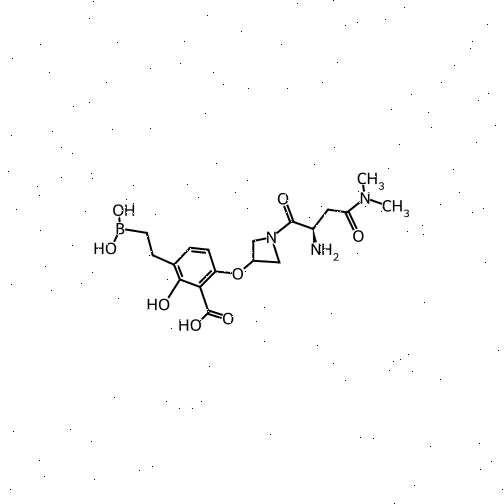 CN(C)C(=O)C[C@@H](N)C(=O)N1CC(Oc2ccc(CCB(O)O)c(O)c2C(=O)O)C1